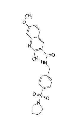 COc1ccc2cc(C(=O)NCc3ccc(S(=O)(=O)N4CCCC4)cc3)c(C)nc2c1